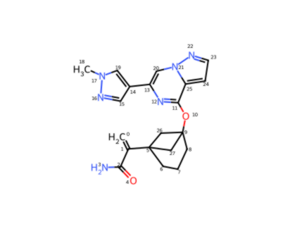 C=C(C(N)=O)C12CCCC(Oc3nc(-c4cnn(C)c4)cn4nccc34)(C1)C2